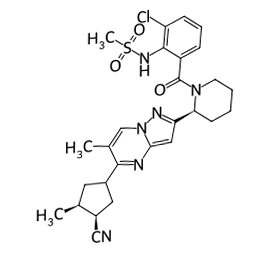 Cc1cn2nc([C@@H]3CCCCN3C(=O)c3cccc(Cl)c3NS(C)(=O)=O)cc2nc1C1C[C@@H](C#N)[C@@H](C)C1